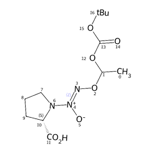 CC(O/N=[N+](\[O-])N1CCC[C@H]1C(=O)O)OC(=O)OC(C)(C)C